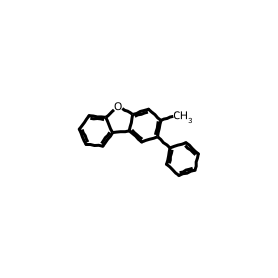 Cc1cc2oc3ccccc3c2cc1-c1ccccc1